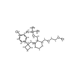 CCOCCOCC1CCCN(CC2(c3ccc(Cl)cc3)CCC2)C1CO[Si](C(C)C)(C(C)C)C(C)C